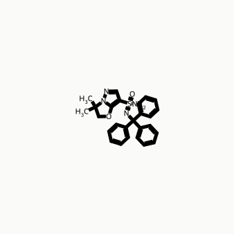 CC1(C)COc2c(S(N)(=O)=NC(c3ccccc3)(c3ccccc3)c3ccccc3)cnn21